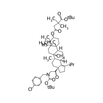 CC(C)C1=C2[C@H]3CC[C@@H]4[C@@]5(C)CC[C@H](OC(=O)CC(C)(C)C(=O)OC(C)(C)C)C(C)(C)C5(S)CC[C@@]4(C)[C@]3(C)CC[C@@]2(C(=O)CN(Cc2ccc(Cl)cc2)C(=O)OC(C)(C)C)CC1